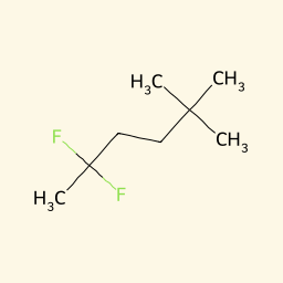 CC(C)(C)CCC(C)(F)F